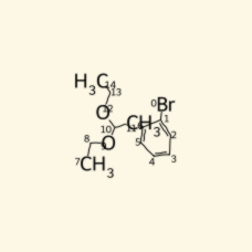 Brc1ccccc1.CCOC(C)OCC